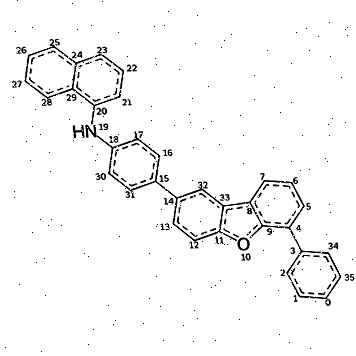 c1ccc(-c2cccc3c2oc2ccc(-c4ccc(Nc5cccc6ccccc56)cc4)cc23)cc1